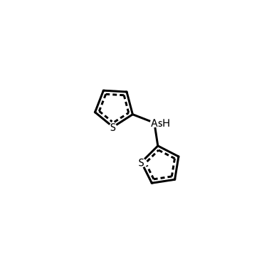 c1csc([AsH]c2cccs2)c1